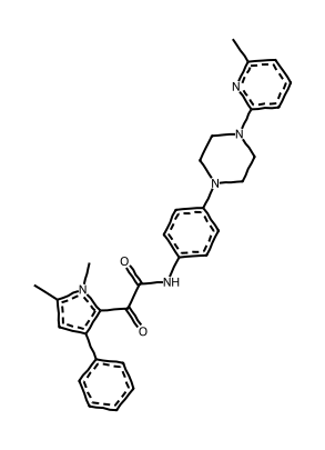 Cc1cccc(N2CCN(c3ccc(NC(=O)C(=O)c4c(-c5ccccc5)cc(C)n4C)cc3)CC2)n1